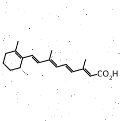 CC1=C(/C=C/C(C)=C/C=C/C(C)=C/C(=O)O)[C@H](C)CCC1